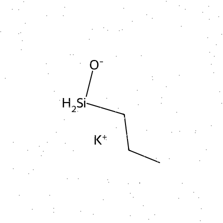 CCC[SiH2][O-].[K+]